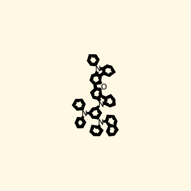 c1ccc(N(c2ccccc2)c2cc(N(c3ccccc3)c3cccc4ccccc34)cc(-n3c4ccccc4c4c5oc6c(ccc7c6c6ccccc6n7-c6ccccc6)c5ccc43)c2)cc1